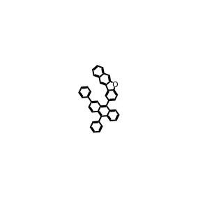 c1ccc(-c2ccc3c(-c4ccccc4)c4ccccc4c(-c4ccc5oc6cc7ccccc7cc6c5c4)c3c2)cc1